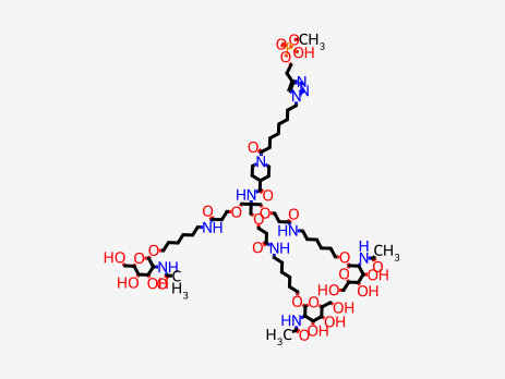 COP(=O)(O)OCCc1cn(CCCCCCCC(=O)N2CCC(C(=O)NC(COCCC(=O)NCCCCCCOC3OC(CO)C(O)C(O)C3NC(C)=O)(COCCC(=O)NCCCCCCOC3OC(CO)C(O)C(O)C3NC(C)=O)COCCC(=O)NCCCCCCOC3OC(CO)C(O)C(O)C3NC(C)=O)CC2)nn1